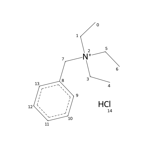 CC[N+](CC)(CC)Cc1ccccc1.Cl